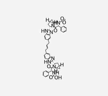 O=C(O)N[C@@H](C(=O)N1[C@H](c2nc3cc(C/C=C/Cc4ccc5[nH]c([C@@H]6C[C@@H]7C[C@@H]7N6C(=O)[C@H](NC6OCO6)c6ccccc6)nc5c4)ccc3[nH]2)C[C@@H]2C[C@@H]21)c1ccccc1